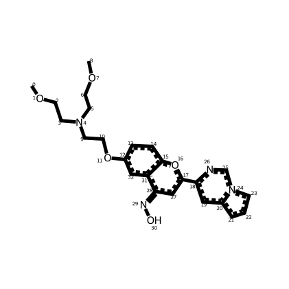 COCCN(CCOC)CCOc1ccc2oc(-c3cc4cccn4cn3)cc(=NO)c2c1